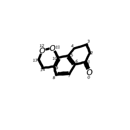 O=C1CCCc2c1ccc1c2OOCC1